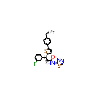 CC(C)Cc1ccc(-c2ccc([C@@H](C3C=CC=C(F)C3)[C@@H](C)C(=O)Nc3nncs3)s2)cc1